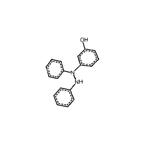 Oc1cccc(N(Nc2ccccc2)c2ccccc2)c1